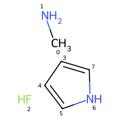 CN.F.c1cc[nH]c1